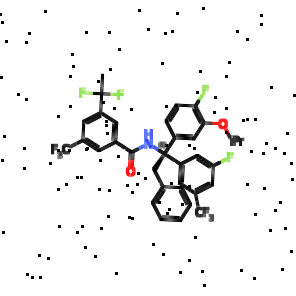 CC(C)Oc1cc([C@@](Cc2ccccc2)(NC(=O)c2cc(C(C)(F)F)cc(C(F)(F)F)c2)c2cc(F)cc(C(F)(F)F)c2)ccc1F